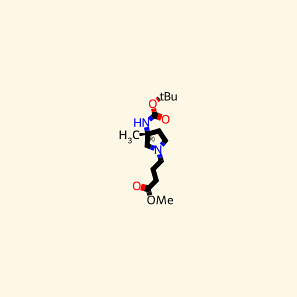 COC(=O)CCCN1CC[C@@](C)(NC(=O)OC(C)(C)C)C1